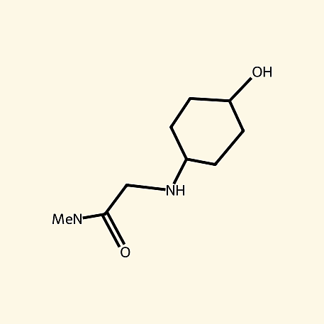 CNC(=O)CNC1CCC(O)CC1